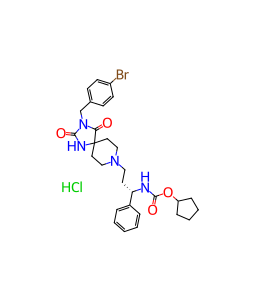 Cl.O=C(N[C@@H](CCN1CCC2(CC1)NC(=O)N(Cc1ccc(Br)cc1)C2=O)c1ccccc1)OC1CCCC1